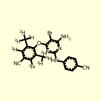 [2H]c1c(C#N)c([2H])c(C([2H])([2H])[2H])c(Oc2nc(Nc3ccc(C#N)cc3)nc(N)c2Br)c1C([2H])([2H])[2H]